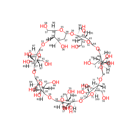 OC[C@H]1OC2O[C@H]3[C@H](O)[C@@H](O)C(O[C@H]4[C@H](O)[C@@H](O)C(O[C@H]5[C@H](O)[C@@H](O)C(O[C@H]6[C@H](O)[C@@H](O)C(O[C@H]7[C@H](O)CC(O[C@H]8[C@H](O)CC(O[C@H]1[C@H](O)[C@H]2O)O[C@@H]8CO)O[C@@H]7CO)O[C@@H]6CO)O[C@@H]5CO)O[C@@H]4CO)O[C@@H]3CO